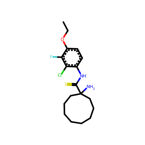 CCOc1ccc(NC(=S)C2(N)CCCCCCCC2)c(Cl)c1F